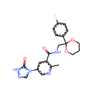 Cc1ncc(-n2cn[nH]c2=O)cc1C(=O)NCC1(c2ccc(F)cc2)OCCCO1